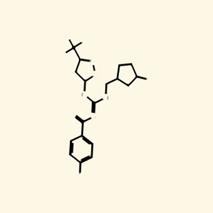 CC1CCC(CN/C(=N/C(=O)c2ccc(F)cc2)NC2CC(C(F)(F)F)NN2)C1